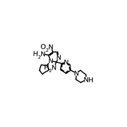 NC1=C([N+](=O)[O-])C=NC(N)(c2ccc(N3CCNCC3)cn2)N1C1CCCC1